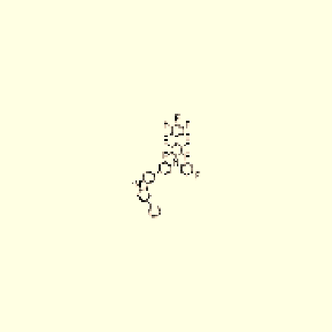 Cn1c2ccc(-c3ccccc3)cc2c2cc(-c3ccc(N(c4ccc(F)cc4)c4c(F)c(F)c(-c5c(F)c(F)c(F)c(F)c5F)c(F)c4F)cc3)ccc21